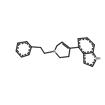 C1=C(c2cccc3[nH]ccc23)CCN(CCc2ccccc2)C1